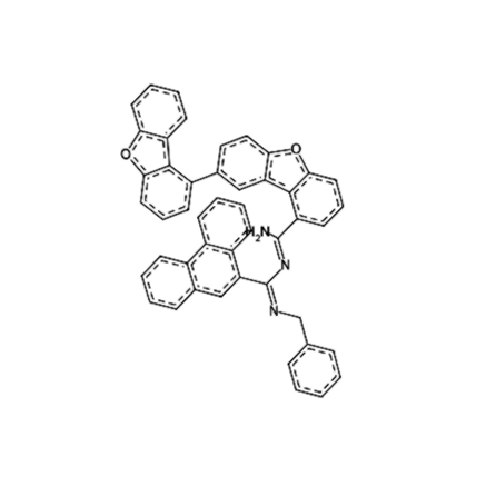 N/C(=N\C(=N/Cc1ccccc1)c1cc2ccccc2c2ccccc12)c1cccc2oc3ccc(-c4cccc5oc6ccccc6c45)cc3c12